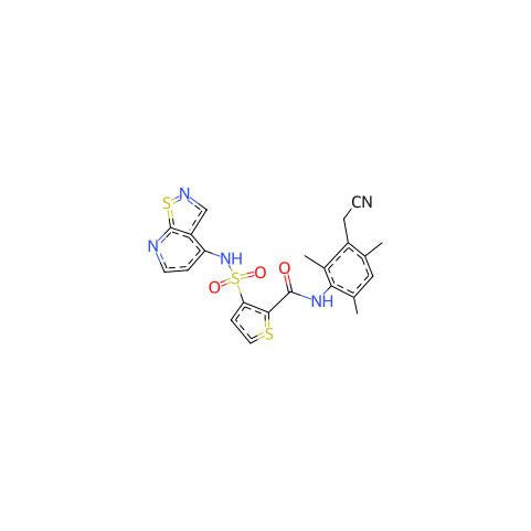 Cc1cc(C)c(NC(=O)c2sccc2S(=O)(=O)Nc2ccnc3sncc23)c(C)c1CC#N